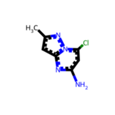 Cc1cc2nc(N)cc(Cl)n2n1